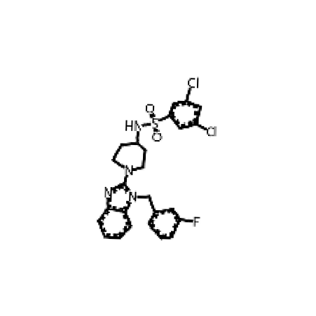 O=S(=O)(NC1CCN(c2nc3ccccc3n2Cc2cccc(F)c2)CC1)c1cc(Cl)cc(Cl)c1